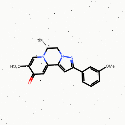 COc1cccc(-c2cc3n(n2)C[C@@H](C(C)(C)C)n2cc(C(=O)O)c(=O)cc2-3)c1